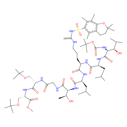 C=C(NCCC[C@@H](NC(=O)[C@H](CC(C)C)NC(=O)[C@@H](NC(=O)OC(C)(C)C)[C@H](O)C(C)C)C(=O)N[C@@H](CC(C)C)C(=O)N[C@H](C(=O)NCC(=O)N[C@@H](COC(C)(C)C)C(=O)N[C@@H](COC(C)(C)C)C(=O)OC)[C@H](C)O)NS(=O)(=O)c1c(C)c(C)c2c(c1C)CCC(C)(C)O2